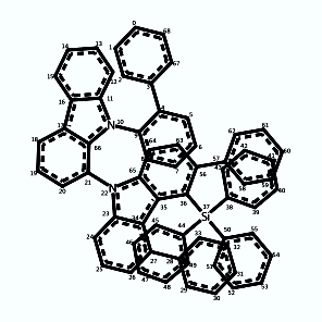 c1ccc(-c2ccccc2-n2c3ccccc3c3cccc(-n4c5cccc(-c6ccccc6)c5c5c([Si](c6ccccc6)(c6ccccc6)c6ccccc6)c(-c6ccccc6)ccc54)c32)cc1